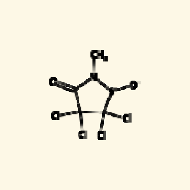 CN1C(=O)C(Cl)(Cl)C(Cl)(Cl)[S+]1[O-]